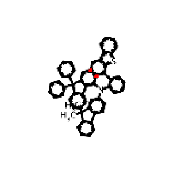 CC1(C)c2ccccc2-c2ccc(N(c3ccccc3-c3cccc4c3sc3ccccc34)c3cccc4c3-c3ccccc3C4(c3ccccc3)c3ccccc3)cc21